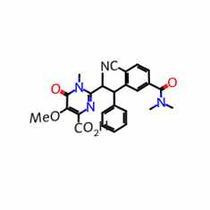 COc1c(C(=O)O)nc(C(C)C(c2ccccc2)c2cc(C(=O)N(C)C)ccc2C#N)n(C)c1=O